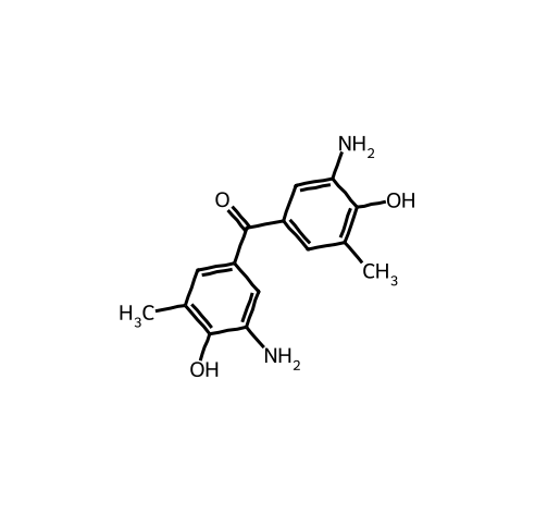 Cc1cc(C(=O)c2cc(C)c(O)c(N)c2)cc(N)c1O